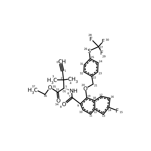 C#CC(C)(C)[C@H](NC(=O)c1ccc2cc(F)ccc2c1OCc1ccc(SC(F)(F)F)cc1)C(=O)OCC